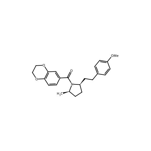 COc1ccc(CC[C@H]2CC[C@@H](C)N2C(=O)c2ccc3c(c2)OCCO3)cc1